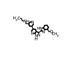 CCCNCc1cncc(-c2cnc3[nH]nc(-c4nc5c(COC)cccc5[nH]4)c3c2)c1